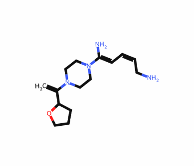 C=C(C1CCCO1)N1CCN(/C(N)=C/C=C\CN)CC1